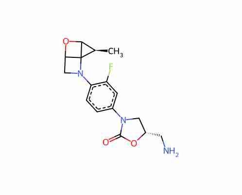 C[C@@H]1C2OC3CN(c4ccc(N5C[C@H](CN)OC5=O)cc4F)C321